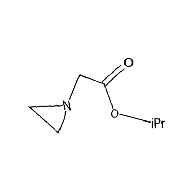 CC(C)OC(=O)CN1CC1